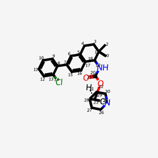 CC1(C)CCc2cc(-c3ccccc3Cl)ccc2C1NC(=O)O[C@H]1CN2CCC1CC2